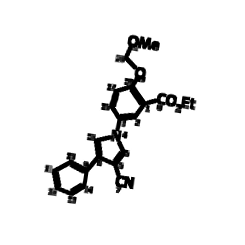 CCOC(=O)c1cc(-n2cc(C#N)c(-c3ccccc3)c2)ccc1OCOC